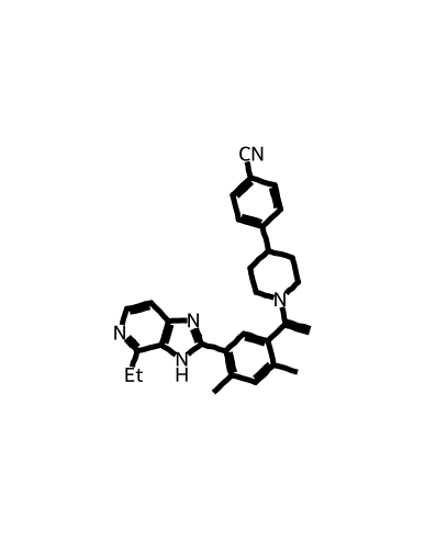 C=C(c1cc(-c2nc3ccnc(CC)c3[nH]2)c(C)cc1C)N1CCC(c2ccc(C#N)cc2)CC1